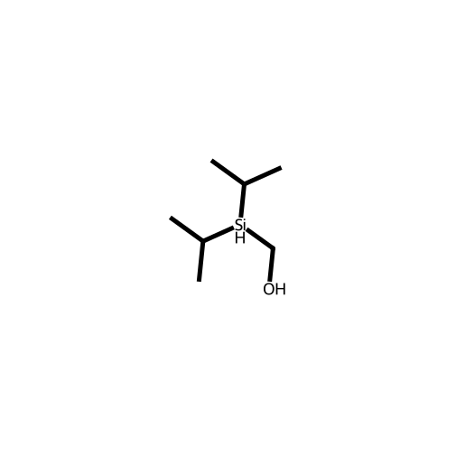 CC(C)[SiH](CO)C(C)C